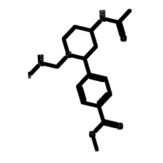 COC(=O)c1ccc(C2CC(NC(C)=O)CCN2CNI)cc1